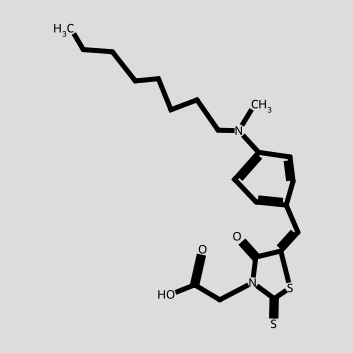 CCCCCCCCN(C)c1ccc(C=C2SC(=S)N(CC(=O)O)C2=O)cc1